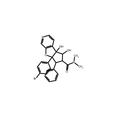 CN(C)C(=O)C1C(O)C2(O)c3ccncc3OC2(c2ccc(Br)cc2)C1c1ccccc1